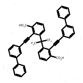 O=C(O)c1cccc(C(c2cccc(C(=O)O)c2C#Cc2cccc(-c3ccccc3)c2)(C(F)(F)F)C(F)(F)F)c1C#Cc1cccc(-c2ccccc2)c1